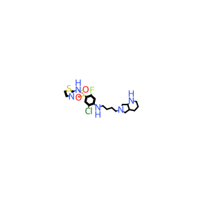 O=S(=O)(Nc1nccs1)c1cc(Cl)c(NCCCCN2CC3CCCNC3C2)cc1F